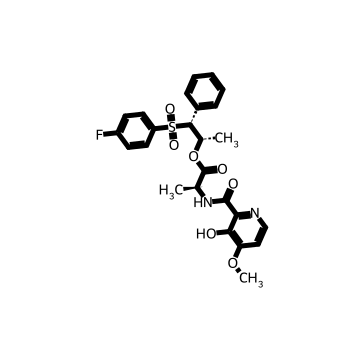 COc1ccnc(C(=O)N[C@@H](C)C(=O)O[C@@H](C)[C@@H](c2ccccc2)S(=O)(=O)c2ccc(F)cc2)c1O